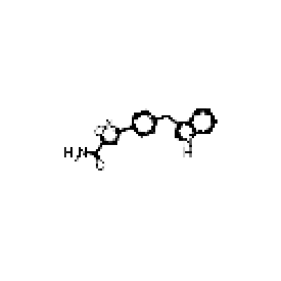 NC(=O)c1cc(-c2ccc(Cc3c[nH]c4ccccc34)cc2)no1